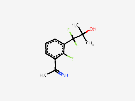 CC(=N)c1cccc(C(F)(F)C(C)(C)O)c1F